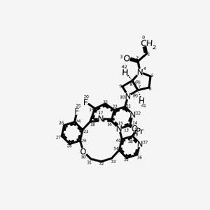 C=CC(=O)N1CC[C@@H]2[C@H]1CN2c1nc(=O)n2c3nc(c(F)cc13)-c1c(F)cccc1OCCCc1ccnc(C(C)C)c1-2